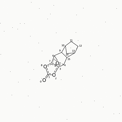 O=c1oc2c3oc(c2o1)C1C2CCC(C2)C31